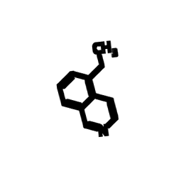 CCc1cccc2cnccc12